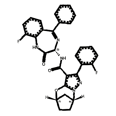 O=C(N[C@H]1N=C(c2ccccc2)c2cccc(F)c2NC1=O)c1c(-c2ccccc2F)nn2c1O[C@H]1CC[C@@H]2C1